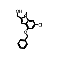 Cn1c(CO)cc2c(OCc3ccccc3)cc(Cl)cc21